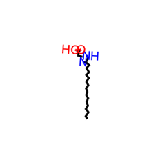 CCCCCCCCCCCCCCCCCC1CNC(CC(=O)O)=N1